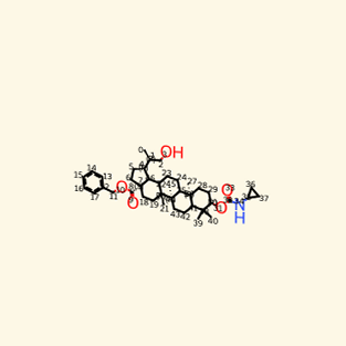 C[C@@H](CO)[C@@H]1CC[C@]2(C(=O)OCc3ccccc3)CC[C@]3(C)C(CCC4[C@@]5(C)CC[C@@H](OC(=O)NC6CC6)C(C)(C)C5CC[C@]43C)C12